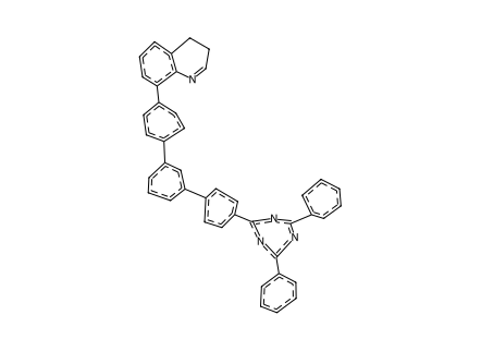 C1=Nc2c(cccc2-c2ccc(-c3cccc(-c4ccc(-c5nc(-c6ccccc6)nc(-c6ccccc6)n5)cc4)c3)cc2)CC1